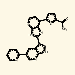 CC(=O)c1ccc(-c2ccnc3[nH]c(-c4n[nH]c5ncc(-c6ccccn6)cc45)nc23)s1